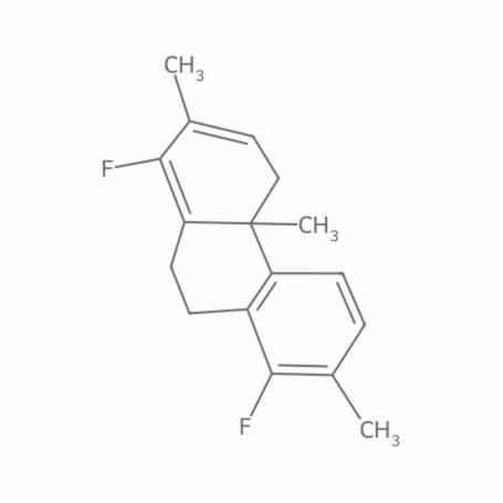 CC1=CCC2(C)C(=C1F)CCc1c2ccc(C)c1F